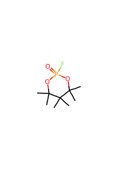 CC1(C)OP(=O)(F)OC(C)(C)C1(C)C